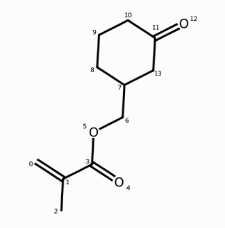 C=C(C)C(=O)OCC1CCCC(=O)C1